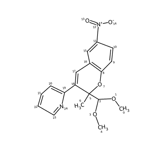 COC(OC)C1(C)Oc2ccc([N+](=O)[O-])cc2C=C1c1ccccn1